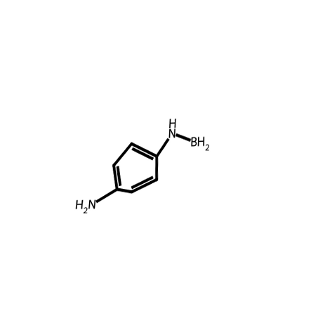 BNc1ccc(N)cc1